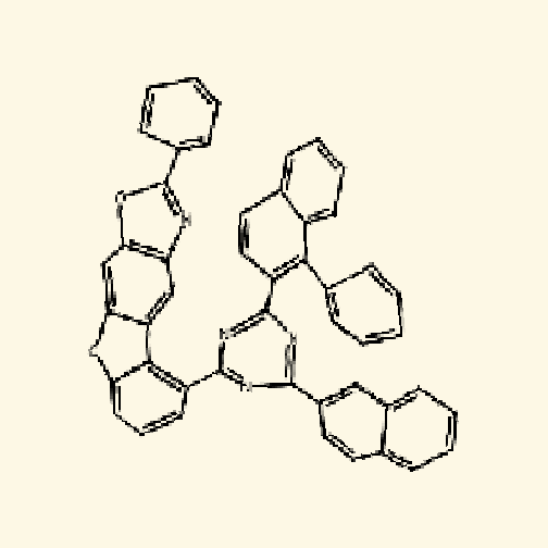 c1ccc(-c2nc3cc4c(cc3o2)oc2cccc(-c3nc(-c5ccc6ccccc6c5)nc(-c5ccc6ccccc6c5-c5ccccc5)n3)c24)cc1